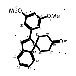 COc1cc(OC)cc(C2=Cc3ccccc3C23CCC(=O)CC3)c1